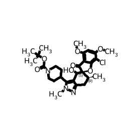 COc1cc(OC)c2c(c1Cl)O[C@]1(C2=O)C(O)c2c(nn(C)c2C2CCN(C(=O)OC(C)(C)C)CC2)C[C@H]1C